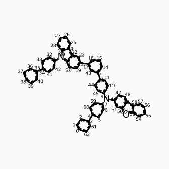 c1ccc(-c2ccc(N(c3ccc(-c4cccc(-c5ccc6c(c5)c5ccccc5n6-c5ccc(-c6ccccc6)cc5)c4)cc3)c3ccc4c(c3)oc3ccccc34)cc2)cc1